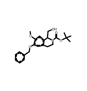 COc1cc2c(cc1OCc1ccccc1)CCN(C(=O)OC(C)(C)C)C2CO